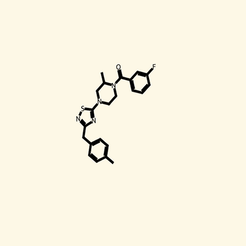 Cc1ccc(Cc2nsc(N3CCN(C(=O)c4cccc(F)c4)C(C)C3)n2)cc1